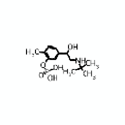 Cc1ccc(C(O)CNC(C)(C)C)cc1OP(=O)(O)O